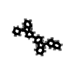 c1ccc(-n2c3ccc(-c4ccc5c(c4)c4ccccc4n5-c4ccc5ccccc5c4)cc3c3ncccc32)cc1